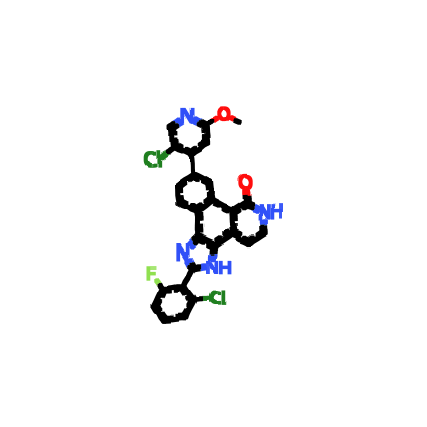 COc1cc(-c2ccc3c(c2)c2c(=O)[nH]ccc2c2[nH]c(-c4c(F)cccc4Cl)nc32)c(Cl)cn1